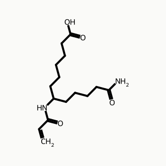 C=CC(=O)NC(CCCCCC(=O)O)CCCCC(N)=O